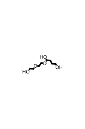 OCCCC(O)OCCOCCO